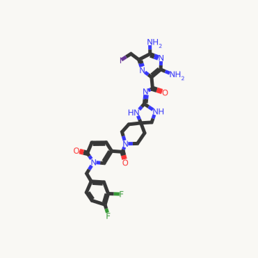 Nc1nc(N)c(C(=O)/N=C2\NCC3(CCN(C(=O)c4ccc(=O)n(Cc5ccc(F)c(F)c5)c4)CC3)N2)nc1CI